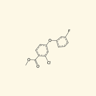 COC(=O)c1ccc(Oc2cccc(F)c2)cc1Cl